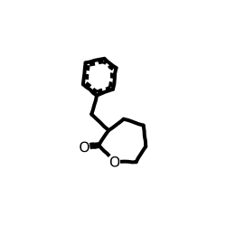 O=C1OCCCCC1Cc1ccccc1